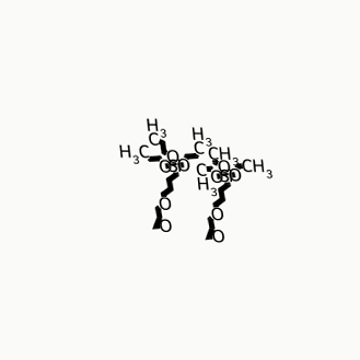 CCCO[Si](CCCCOCC1CO1)(OCCC)OCCC.CCO[Si](CCCCOCC1CO1)(OCC)OCC